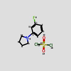 Fc1cccc(N2CCCC2)c1.O=S(=O)(Cl)Cl